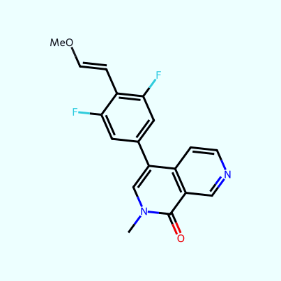 CO/C=C/c1c(F)cc(-c2cn(C)c(=O)c3cnccc23)cc1F